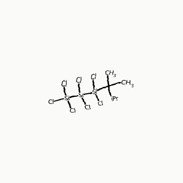 CC(C)C(C)(C)[Si](Cl)(Cl)[Si](Cl)(Cl)[Si](Cl)(Cl)Cl